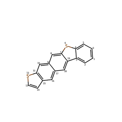 c1ccc2c(c1)sc1cc3cc4sccc4cc3cc12